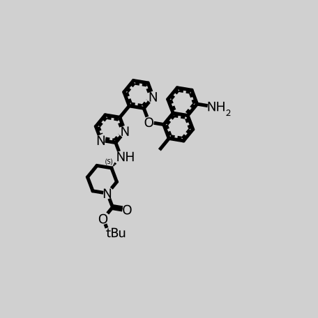 Cc1ccc2c(N)cccc2c1Oc1ncccc1-c1ccnc(N[C@H]2CCCN(C(=O)OC(C)(C)C)C2)n1